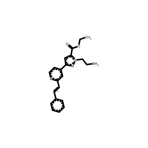 CCOC(=O)c1cc(-c2ccnc(/C=C/c3ccccc3)c2)nn1CCN